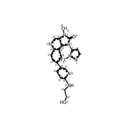 Cn1nccc1-n1c(=O)n(C)c2cnc3ccc(-c4ccc(NCCO)nc4)cc3c21